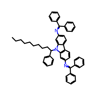 CCCCCCCCCC(c1ccccc1)n1c2cc(N=C(c3ccccc3)c3ccccc3)ccc2c2ccc(N=C(c3ccccc3)c3ccccc3)cc21